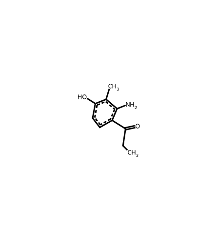 CCC(=O)c1ccc(O)c(C)c1N